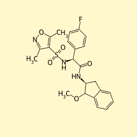 COC1c2ccccc2C[C@@H]1NC(=O)[C@@H](NS(=O)(=O)c1c(C)noc1C)c1ccc(F)cc1